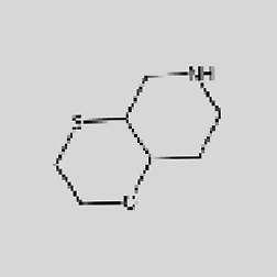 C1CC2OCCSC2CN1